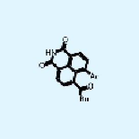 CCC(C)C(=O)c1ccc2c3c(ccc(C(C)=O)c13)C(=O)NC2=O